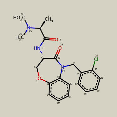 C[C@@H](C(=O)N[C@H]1COc2ccccc2N(Cc2ccccc2Cl)C1=O)N(C)C(=O)O